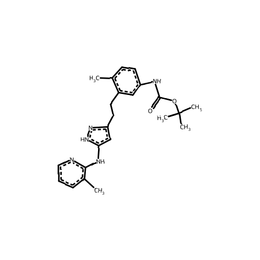 Cc1ccc(NC(=O)OC(C)(C)C)cc1CCc1cc(Nc2ncccc2C)[nH]n1